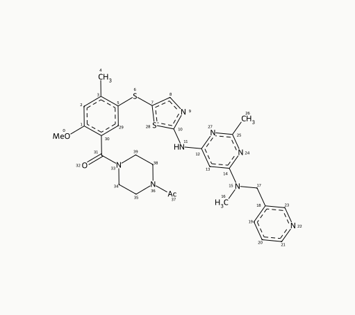 COc1cc(C)c(Sc2cnc(Nc3cc(N(C)Cc4cccnc4)nc(C)n3)s2)cc1C(=O)N1CCN(C(C)=O)CC1